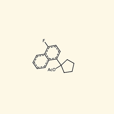 CC(=O)OC1(c2ccc(F)c3ccccc23)CCCC1